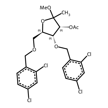 COC1(C)O[C@H](COCc2ccc(Cl)cc2Cl)[C@@H](OCc2ccc(Cl)cc2Cl)[C@H]1OC(C)=O